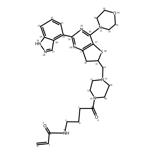 C=CC(=O)NCCCC(=O)N1CCN(CC2Cc3nc(-c4cccc5[nH]ncc45)nc(N4CCOCC4)c3S2)CC1